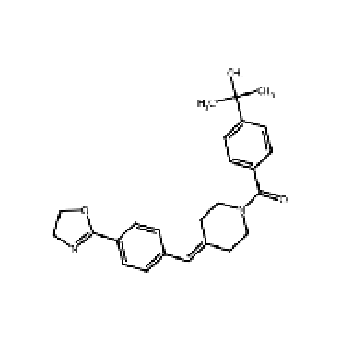 CC(C)(C)c1ccc(C(=O)N2CCC(=Cc3ccc(C4=NCCO4)cc3)CC2)cc1